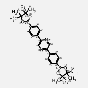 CC1(C)OB(c2ccc(-c3cnc(-c4ccc(B5OC(C)(C)C(C)(C)O5)cc4)cn3)cc2)OC1(C)C